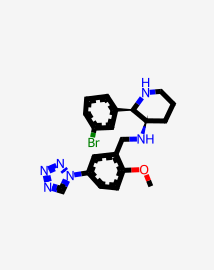 COc1ccc(-n2cnnn2)cc1CN[C@@H]1CCCN[C@@H]1c1cccc(Br)c1